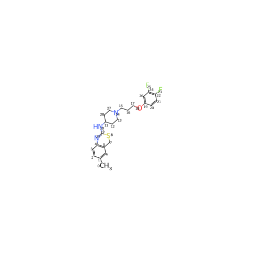 Cc1ccc2c(c1)CSC(NC1CCN(CCCOc3ccc(F)c(F)c3)CC1)=N2